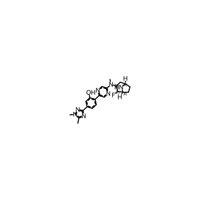 Cc1nc(-c2ccc(-c3cnc(N(C)[C@H]4C[C@@H]5CC[C@@H](N5)[C@H]4F)cn3)c(O)c2)nn1C